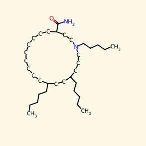 CCCCCC1CCCCCCCCCC(C(N)=O)CCN(CCCCC)CCCC(CCCCC)CC1